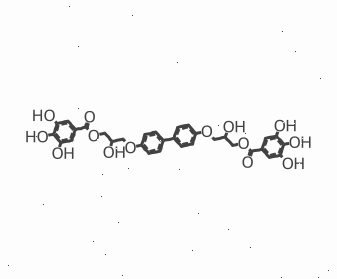 O=C(OCC(O)COc1ccc(-c2ccc(OCC(O)COC(=O)c3cc(O)c(O)c(O)c3)cc2)cc1)c1cc(O)c(O)c(O)c1